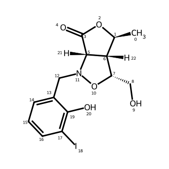 C[C@@H]1OC(=O)[C@@H]2[C@H]1[C@H](CO)ON2Cc1cccc(I)c1O